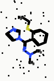 CCSc1ccccc1/C(=N\N(C)C)n1ccnc1